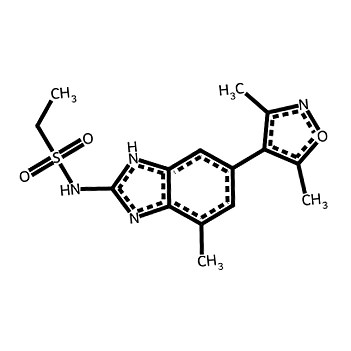 CCS(=O)(=O)Nc1nc2c(C)cc(-c3c(C)noc3C)cc2[nH]1